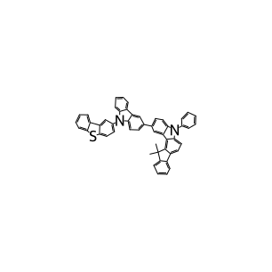 CC1(C)c2ccccc2-c2ccc3c(c21)c1cc(-c2ccc4c(c2)c2ccccc2n4-c2ccc4sc5ccccc5c4c2)ccc1n3-c1ccccc1